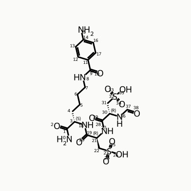 NC(=O)[C@H](CCCCNC(=O)c1ccc(N)cc1)NC(=O)[C@H](CS(=O)(=O)O)NC(=O)[C@H](CS(=O)(=O)O)NC=O